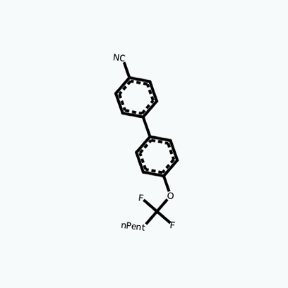 CCCCCC(F)(F)Oc1ccc(-c2ccc(C#N)cc2)cc1